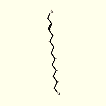 CC(=O)OC/C=C/CCCCCCCCCCCl